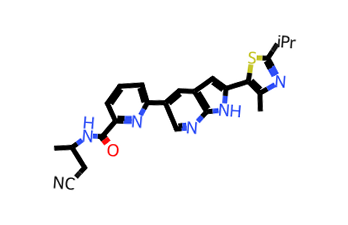 Cc1nc(C(C)C)sc1-c1cc2cc(-c3cccc(C(=O)NC(C)CC#N)n3)cnc2[nH]1